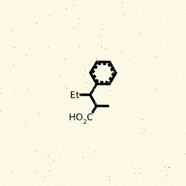 CCC(c1ccccc1)C(C)C(=O)O